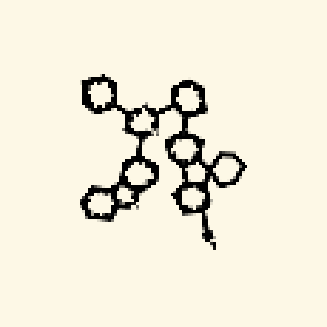 N#Cc1ccc2c(c1)C1(CCCCC1)c1cc(-c3ccccc3-c3nc(-c4ccccc4)cc(-c4ccc5oc6ccccc6c5c4)n3)ccc1-2